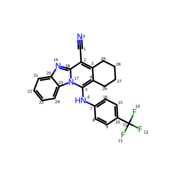 N#Cc1c2c(c(Nc3ccc(C(F)(F)F)cc3)n3c1nc1ccccc13)CCCC2